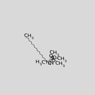 CCCCCCCCCCCCCCCC(C)n1ccnc1C[Si](OCC)(OCC)OCC